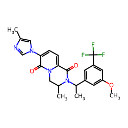 COc1cc(C(C)N2C(=O)c3ccc(-n4cnc(C)c4)c(=O)n3CC2C)cc(C(F)(F)F)c1